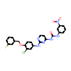 O=C(Nc1cccc([N+](=O)[O-])c1)Nc1ccnc(Nc2ccc(OCc3cccc(F)c3)c(Cl)c2)n1